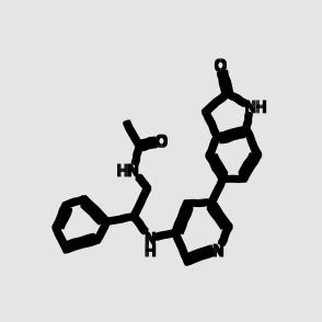 CC(=O)NCC(Nc1cncc(-c2ccc3c(c2)CC(=O)N3)c1)c1ccccc1